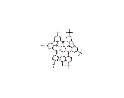 Cc1cc(C)c(-c2c3c4c5c6c2B(c2ccc(C(C)(C)C)cc2)c2cc(C(C)(C)C)cc7c8cc(C(C)(C)C)cc(c8n-6c27)B5c2cc(C(C)(C)C)cc5c6cc(C(C)(C)C)cc(c6n-4c25)B3c2ccc(C(C)(C)C)cc2)c(C)c1